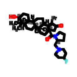 CC(C)C1=C2[C@H]3CC[C@@H]4[C@@]5(C)CC[C@H](O)C(C)(C)[C@@H]5CC[C@@]4(C)[C@]3(C)CC[C@@]2(C(=O)N2CCC[C@H]2CN2CCC(F)CC2)CC1=O